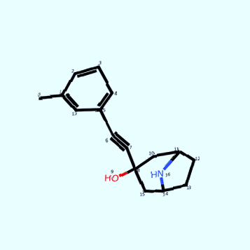 Cc1cccc(C#CC2(O)CC3CCC(C2)N3)c1